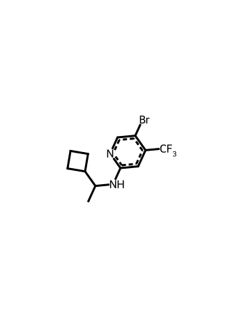 CC(Nc1cc(C(F)(F)F)c(Br)cn1)C1CCC1